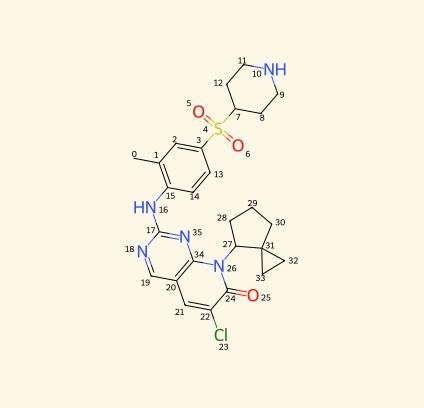 Cc1cc(S(=O)(=O)C2CCNCC2)ccc1Nc1ncc2cc(Cl)c(=O)n(C3CCCC34CC4)c2n1